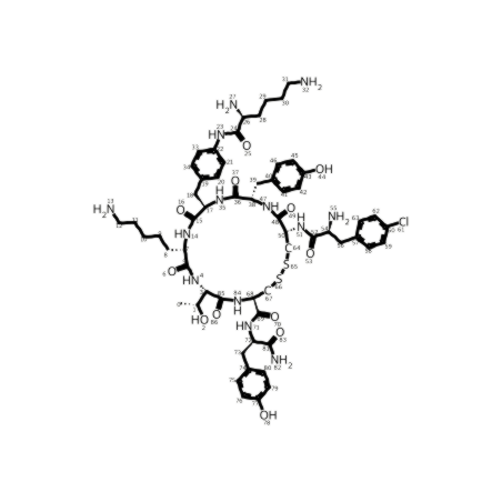 C[C@@H](O)[C@@H]1NC(=O)[C@H](CCCCCN)NC(=O)[C@@H](Cc2ccc(NC(=O)[C@@H](N)CCCCN)cc2)NC(=O)[C@H](Cc2ccc(O)cc2)NC(=O)[C@H](NC(=O)[C@@H](N)Cc2ccc(Cl)cc2)CSSC[C@@H](C(=O)N[C@H](Cc2ccc(O)cc2)C(N)=O)NC1=O